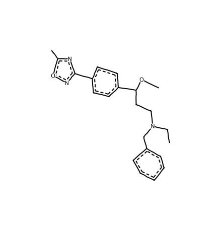 CCN(CCC(OC)c1ccc(-c2noc(C)n2)cc1)Cc1ccccc1